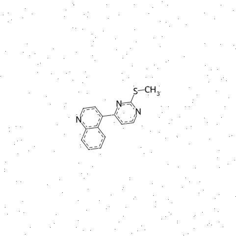 CSc1nccc(-c2ccnc3ccccc23)n1